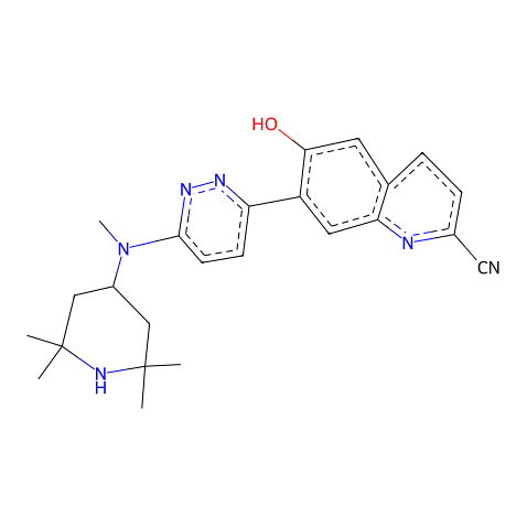 CN(c1ccc(-c2cc3nc(C#N)ccc3cc2O)nn1)C1CC(C)(C)NC(C)(C)C1